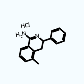 Cc1cccc2c1CC(c1ccccc1)N=C2N.Cl